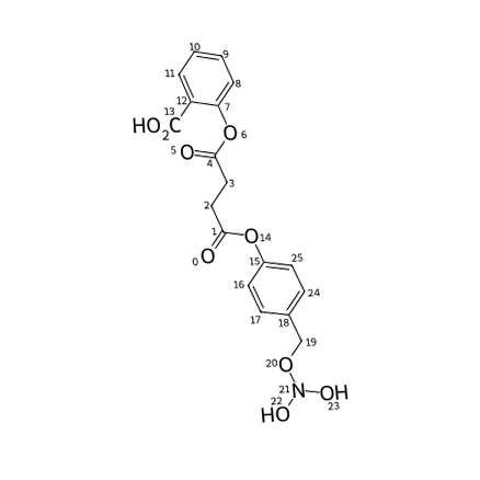 O=C(CCC(=O)Oc1ccccc1C(=O)O)Oc1ccc(CON(O)O)cc1